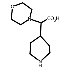 O=C(O)C(C1CCNCC1)N1CCOCC1